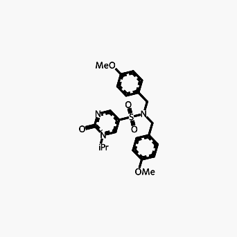 COc1ccc(CN(Cc2ccc(OC)cc2)S(=O)(=O)c2cnc(=O)n(C(C)C)c2)cc1